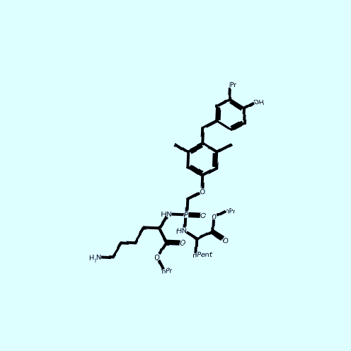 CCCCCC(NP(=O)(COc1cc(C)c(Cc2ccc(O)c(C(C)C)c2)c(C)c1)NC(CCCCN)C(=O)OCCC)C(=O)OCCC